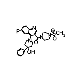 CS(=O)(=O)N1CCN(C(=O)c2cnc3ccc(F)cc3c2N2CCC(O)(c3ccccc3)CC2)CC1